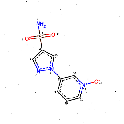 NS(=O)(=O)c1cnn(-c2ccc[n+]([O-])c2)c1